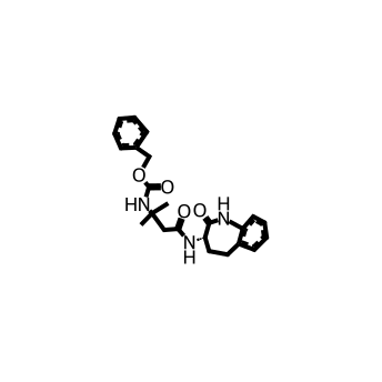 CC(C)(CC(=O)N[C@H]1CCc2ccccc2NC1=O)NC(=O)OCc1ccccc1